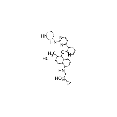 Cc1ccc2c(NC[C@H](O)C3CC3)cccc2c1Oc1ncccc1-c1ccnc(NC2CCCNC2)n1.Cl